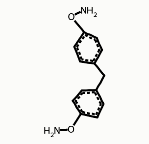 NOc1ccc(Cc2ccc(ON)cc2)cc1